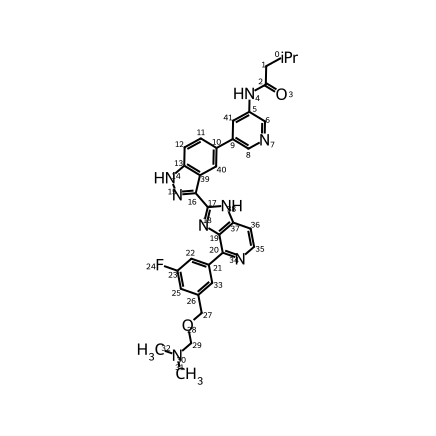 CC(C)CC(=O)Nc1cncc(-c2ccc3[nH]nc(-c4nc5c(-c6cc(F)cc(COCN(C)C)c6)nccc5[nH]4)c3c2)c1